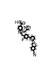 N#Cc1ccc(COc2cccc(-c3ccc(Cc4nc5ccc(C(=O)O)cc5n4Cc4cocn4)c(F)c3)n2)c(F)c1